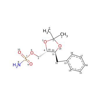 CC1(C)O[C@@H](COS(N)(=O)=O)[C@H](Cc2ccccc2)O1